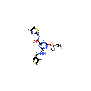 CC(C)Oc1nc(NCc2ccsc2)nc(C(=O)Nc2nccs2)n1